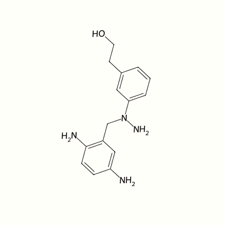 Nc1ccc(N)c(CN(N)c2cccc(CCO)c2)c1